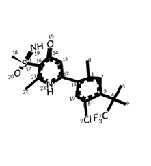 Cc1cc(C(C)(C)C(F)(F)F)c(Cl)cc1-c1cc(=O)c([S@@](C)(=N)=O)c(C)[nH]1